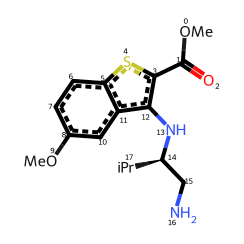 COC(=O)c1sc2ccc(OC)cc2c1N[C@@H](CN)C(C)C